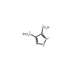 CCOC(=O)c1conc1C(=O)O